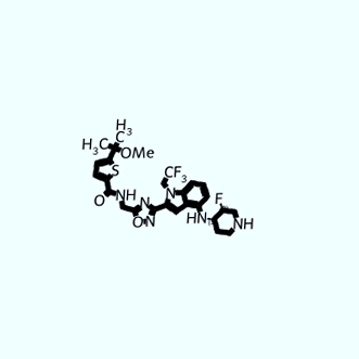 COC(C)(C)c1ccc(C(=O)NCc2nc(-c3cc4c(N[C@H]5CCNC[C@H]5F)cccc4n3CC(F)(F)F)no2)s1